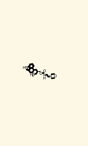 CN1C[C@H](COC(=O)NCCN2CCOCC2)CC2c3cccc4[nH]cc(c34)C[C@H]21